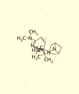 C=C(/C=C\C(=N/C)N(C)C)CN1C2CC1CN(C(C)(C)C)C2